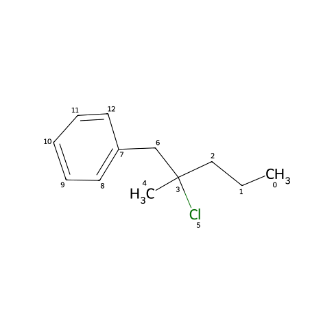 CCCC(C)(Cl)Cc1ccccc1